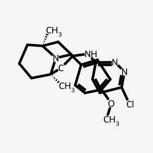 COc1ccc(CN2[C@@]3(C)CCC[C@]2(C)CC(Nc2ccc(Cl)nn2)C3)cc1